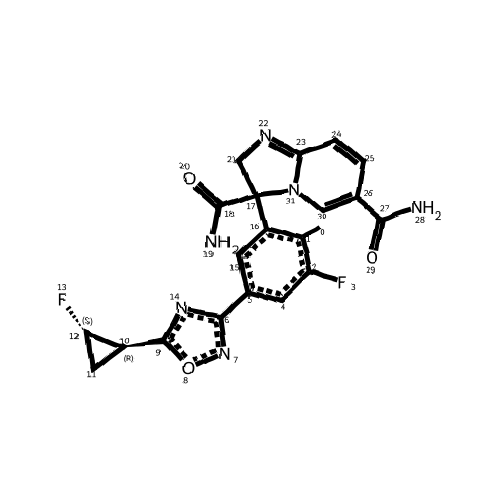 Cc1c(F)cc(-c2noc([C@H]3C[C@@H]3F)n2)cc1C1(C(N)=O)CN=C2C=CC(C(N)=O)=CN21